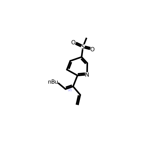 C=C/C(=C/CCCC)c1ccc(S(C)(=O)=O)cn1